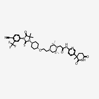 C[C@@H]1CN(CCO[C@H]2CC[C@H](N3C(=S)N(c4ccc(C#N)c(C(F)(F)F)c4)C(=O)C3(C)C)CC2)C[C@H](C)N1CC(=O)Nc1ccc(C2(C)CCC(=O)NC2=O)cn1